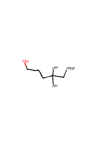 CCCCCCCCC(CCC)(CCC)CCCO